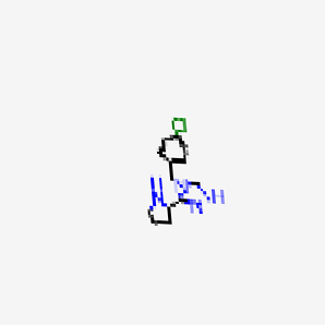 Clc1ccc(CN2CNN=C2[C@H]2CCCN2)cc1